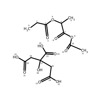 CCC(=O)OC(C)C(=O)OC(C)=O.O=C(O)CC(O)(CC(=O)O)C(=O)O